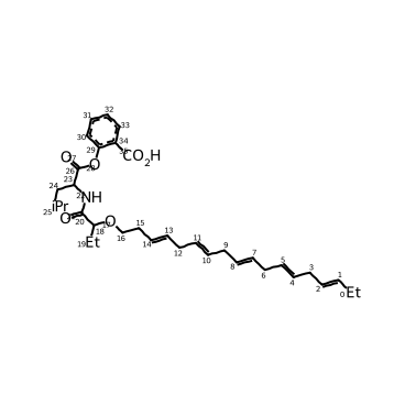 CCC=CCC=CCC=CCC=CCC=CCCOC(CC)C(=O)NC(CC(C)C)C(=O)Oc1ccccc1C(=O)O